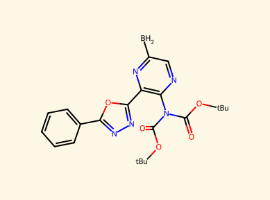 Bc1cnc(N(C(=O)OC(C)(C)C)C(=O)OC(C)(C)C)c(-c2nnc(-c3ccccc3)o2)n1